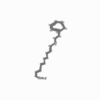 CCCCCCCC/C=C\CCCCCCCCOCCc1ccccc1